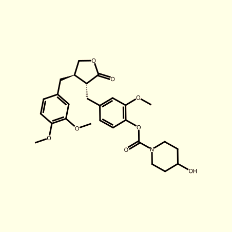 COc1ccc(C[C@H]2COC(=O)[C@@H]2Cc2ccc(OC(=O)N3CCC(O)CC3)c(OC)c2)cc1OC